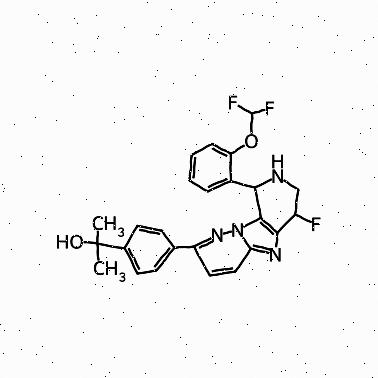 CC(C)(O)c1ccc(-c2ccc3nc4c(n3n2)C(c2ccccc2OC(F)F)NCC4F)cc1